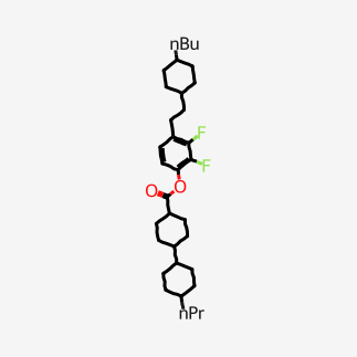 CCCCC1CCC(CCc2ccc(OC(=O)C3CCC(C4CCC(CCC)CC4)CC3)c(F)c2F)CC1